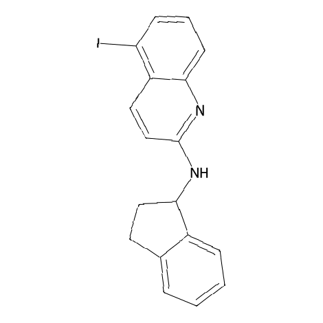 Ic1cccc2nc(NC3CCc4ccccc43)ccc12